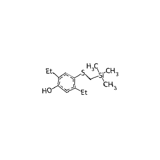 CCc1cc(SC[Si](C)(C)C)c(CC)cc1O